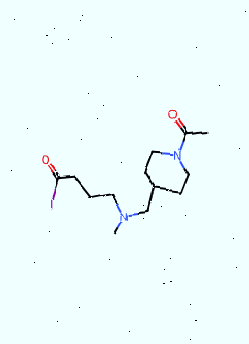 CC(=O)N1CCC(CN(C)CCCC(=O)I)CC1